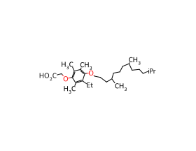 CCc1c(C)c(OCC(=O)O)c(C)c(C)c1OCCCC(C)CCCC(C)CCCC(C)C